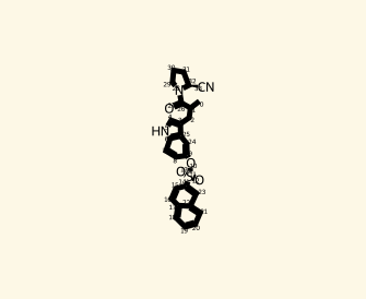 CC(Cc1c[nH]c2ccc(OS(=O)(=O)c3ccc4ccccc4c3)cc12)C(=O)N1CCC[C@H]1C#N